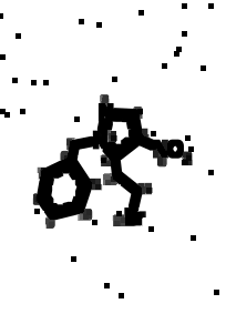 O=[N+]([O-])c1cnn(Cc2ccccc2)c1CCBr